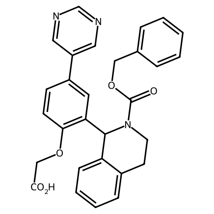 O=C(O)COc1ccc(-c2cncnc2)cc1C1c2ccccc2CCN1C(=O)OCc1ccccc1